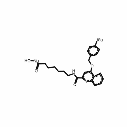 CC(C)(C)c1ccc(COc2cc(C(=O)NCCCCCCC(=O)NO)nc3ccccc23)cc1